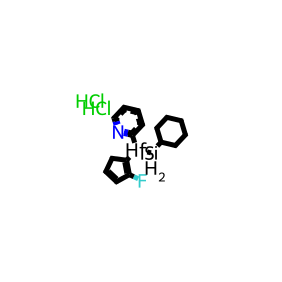 Cl.Cl.FC1=[C]([Hf]([SiH2]C2CCCCC2)[c]2ccccn2)CC=C1